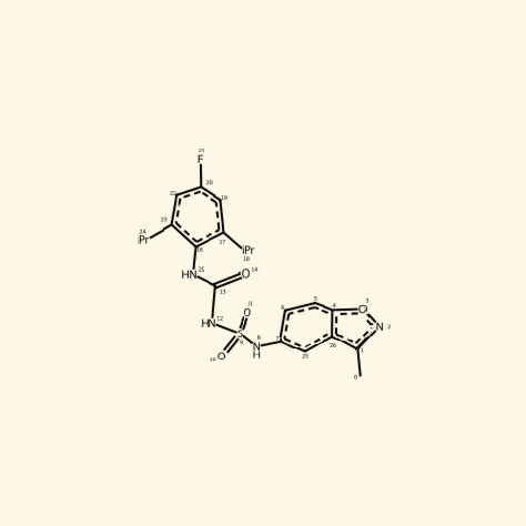 Cc1noc2ccc(NS(=O)(=O)NC(=O)Nc3c(C(C)C)cc(F)cc3C(C)C)cc12